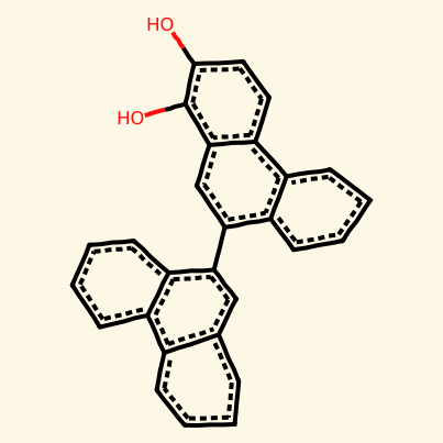 Oc1ccc2c(cc(-c3cc4ccccc4c4ccccc34)c3ccccc32)c1O